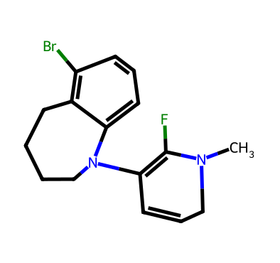 CN1CC=CC(N2CCCCc3c(Br)cccc32)=C1F